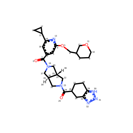 O=C(c1cc(OCC2CCCOC2)nc(C2CC2)c1)N1C[C@@H]2CN(C(=O)C3CCc4[nH]nnc4C3)C[C@H]2C1